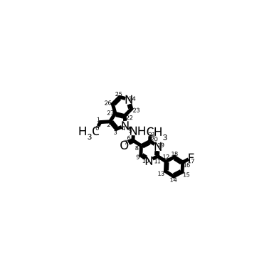 CCc1cn(NC(=O)c2cnc(-c3cccc(F)c3)nc2C)c2cnccc12